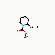 CCCOC(=O)N1CCCCC1C(=O)O